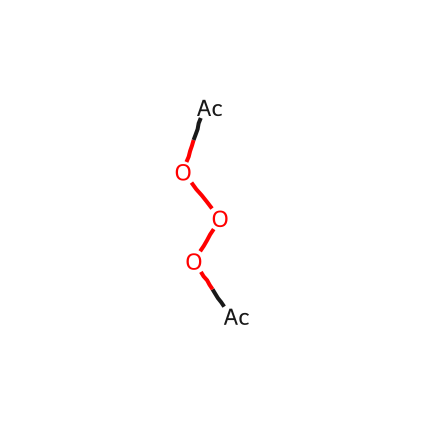 CC(=O)OOOC(C)=O